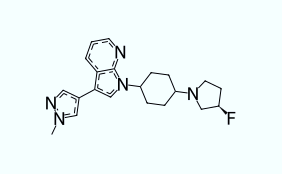 Cn1cc(-c2cn(C3CCC(N4CC[C@@H](F)C4)CC3)c3ncccc23)cn1